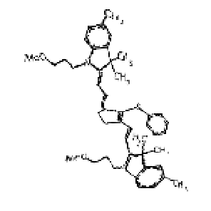 COCCCN1/C(=C/C=C2\CCC(/C=C/C3=[N+](CCCOC)c4ccc(C)cc4C3(C)C)=C2Sc2ccccc2)C(C)(C)c2cc(C)ccc21